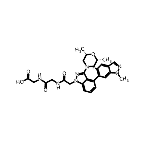 C[C@@H]1CN(c2nn(CC(=O)NCC(=O)NCC(=O)O)c3cccc(-c4cc5c(cnn5C)cc4F)c23)C[C@H](C)O1